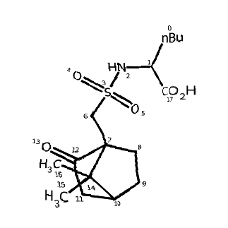 CCCCC(NS(=O)(=O)CC12CCC(CC1=O)C2(C)C)C(=O)O